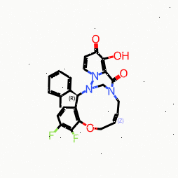 Cc1ccccc1[C@@H]1c2ccc(F)c(F)c2OC/C=C\CN2CN1n1ccc(=O)c(O)c1C2=O